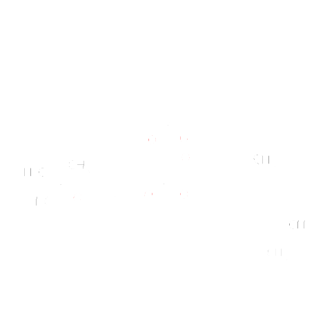 CC(C)=CCCC(C)=CCOc1c(OC(=O)c2ccccc2)c2ccc(OC(C)(C)C)cc2oc1=O